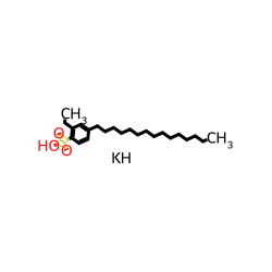 CCCCCCCCCCCCCCCc1ccc(S(=O)(=O)O)c(CC)c1.[KH]